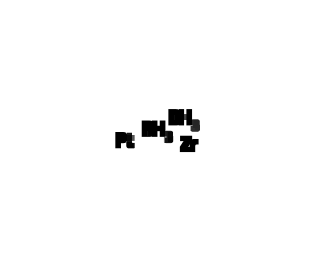 B.B.[Pt].[Zr]